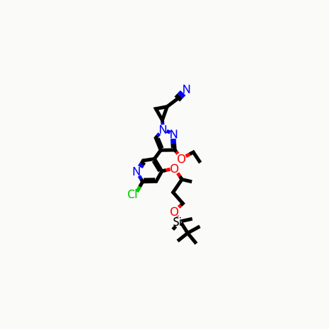 CCOc1nn(C2CC2C#N)cc1-c1cnc(Cl)cc1OC(C)CCO[Si](C)(C)C(C)(C)C